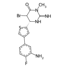 CN1C(=N)N[C@H](c2cc(-c3ccc(F)c(N)c3)cs2)C(Br)C1=O